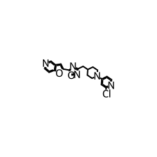 Clc1cc(N2CCC(Cc3noc(-c4cc5cnccc5o4)n3)CC2)ccn1